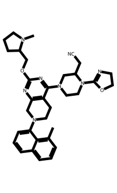 Cc1cccc2cccc(N3CCc4c(nc(OCC5CCCN5C)nc4N4CCN(C5=NCCO5)C(CC#N)C4)C3)c12